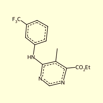 CCOC(=O)c1ncnc(Nc2cccc(C(F)(F)F)c2)c1C